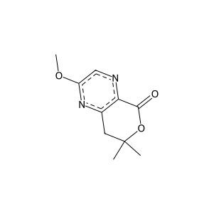 COc1cnc2c(n1)CC(C)(C)OC2=O